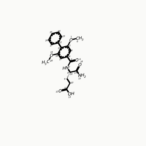 COc1cc(C(=O)N[C@@H](CCC(=O)O)C(N)=O)cc(OC)c1-c1ccccc1